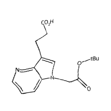 CC(C)(C)OC(=O)Cn1cc(CCC(=O)O)c2ncccc21